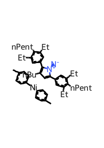 CCCCCc1c(CC)cc(C2=CC(CCCC)=C(c3cc(CC)c(CCCCC)c(CC)c3)[N+]2=[N-])cc1CC.Cc1cc[c]([Ni][c]2ccc(C)cc2)cc1